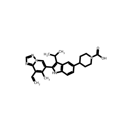 C=Cc1c(C)c(-c2[nH]c3ccc(C4CCN(C(=O)O)CC4)cc3c2C(C)C)cn2ncnc12